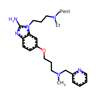 CCCC(C)N(CC)CCCn1c(N)nc2ccc(OCCCN(C)Cc3ccccn3)cc21